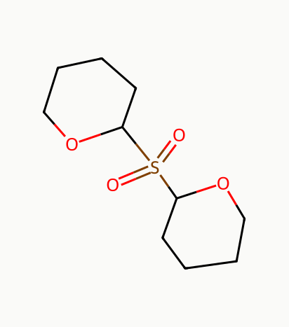 O=S(=O)(C1CCCCO1)C1CCCCO1